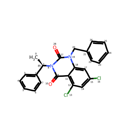 C[C@H](c1ccccc1)n1c(=O)c2c(Cl)cc(Cl)cc2n(Cc2ccccc2)c1=O